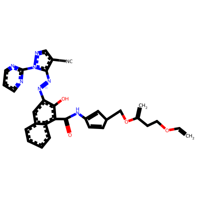 [C-]#[N+]c1cnn(-c2ncccn2)c1/N=N/c1cc2ccccc2c(C(=O)NC2=CC(COC(=C)CCOC=C)C=C2)c1O